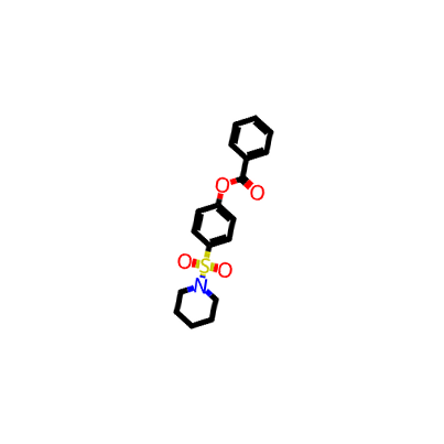 O=C(Oc1ccc(S(=O)(=O)N2CCCCC2)cc1)c1ccccc1